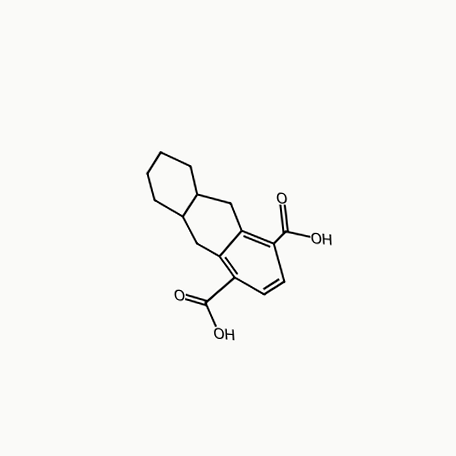 O=C(O)c1ccc(C(=O)O)c2c1CC1CCCCC1C2